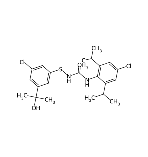 CC(C)c1cc(Cl)cc(C(C)C)c1NC(=O)NSc1cc(Cl)cc(C(C)(C)O)c1